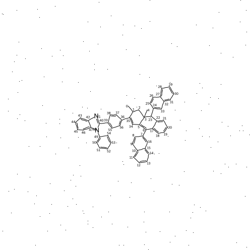 CC1CC2(C)C(=C(c3ccc4ccccc4c3)c3ccccc3C2c2ccc3ccccc3c2)C=C1c1ccc(-c2nc3ccccc3n2-c2ccccc2)cc1